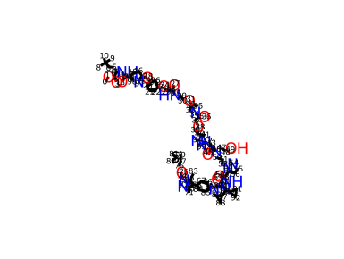 COC(=O)[C@H](CCC(C)(C)C)NC(=O)c1ccc(Oc2cccc(OCC(=O)NCCOC3CN(C(=O)COCc4cn(CC(=O)N(CCO)CCCn5nccc5C(=O)N[C@H](C(=O)Nc5ccc(-c6c(C)nn(COCC[Si](C)(C)C)c6C)cc5)C(C5CC5)C5CC5)nn4)C3)c2)nc1